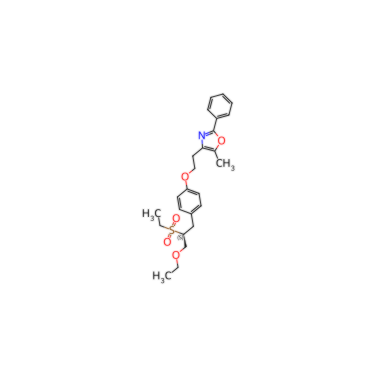 CCOC[C@H](Cc1ccc(OCCc2nc(-c3ccccc3)oc2C)cc1)S(=O)(=O)CC